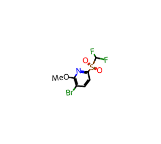 COc1nc(S(=O)(=O)C(F)F)ccc1Br